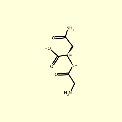 NCC(=O)N[C@H](CC(N)=O)C(=O)O